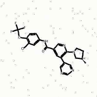 C[C@@H]1CCN(c2ncc(C(=O)Nc3ccc(OC(F)(F)F)c(Cl)c3)cc2-c2cncnc2)C1